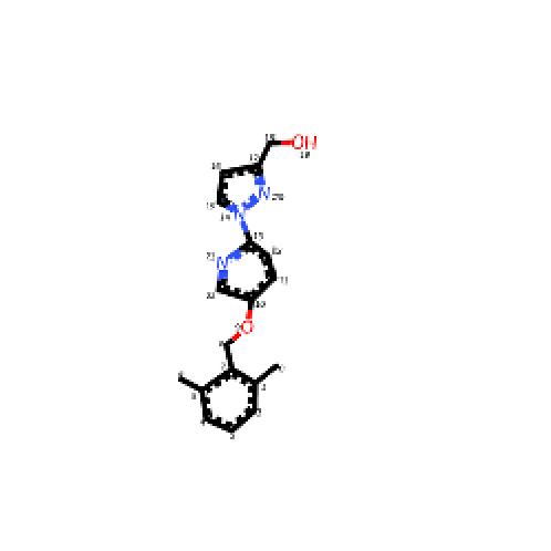 Cc1cccc(C)c1COc1ccc(-n2ccc(CO)n2)nc1